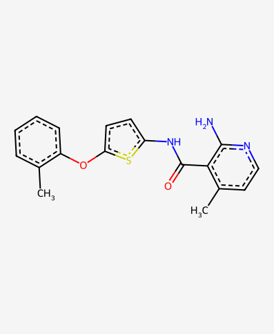 Cc1ccccc1Oc1ccc(NC(=O)c2c(C)ccnc2N)s1